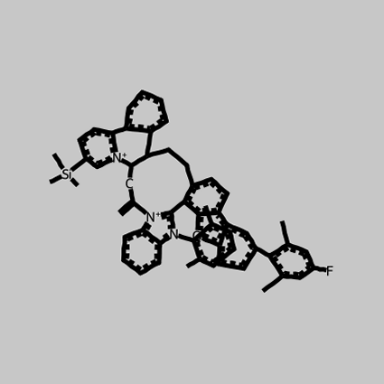 C=C1CC2C(CCc3ccc4c(oc5ccc(-c6c(C)cc(F)cc6C)cc54)c3-c3n(-c4c(C)cccc4C)c4ccccc4[n+]31)c1ccccc1-c1ccc([Si](C)(C)C)c[n+]12